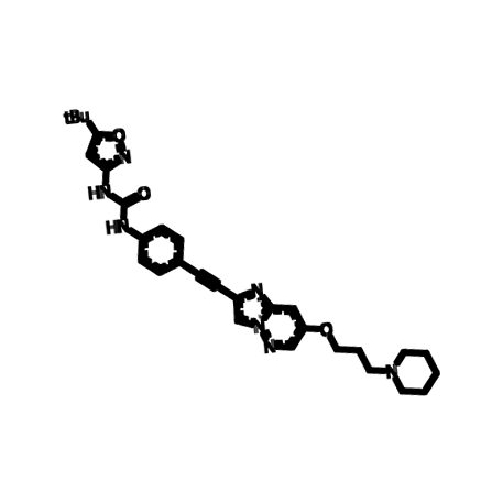 CC(C)(C)c1cc(NC(=O)Nc2ccc(C#Cc3cn4ncc(OCCCN5CCCCC5)cc4n3)cc2)no1